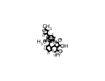 Cc1cc(-c2ccc(N3C(=O)C(O)=C(C(=O)CC(C)C)C3c3ccccc3C(=O)N(C)C)cc2)cs1